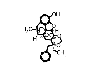 CC[C@@]1(Cc2ccccc2)OCO[C@]23CC[C@@]4(CC12)[C@H]1Cc2ccc(O)c5c2[C@@]4(CCN1C)[C@H]3O5